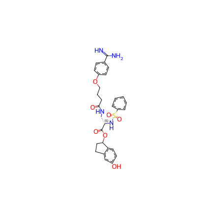 N=C(N)c1ccc(OCCCC(=O)NC[C@H](NS(=O)(=O)c2ccccc2)C(=O)OC2CCc3cc(O)ccc32)cc1